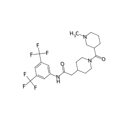 CN1CCCC(C(=O)N2CCC(CC(=O)Nc3cc(C(F)(F)F)cc(C(F)(F)F)c3)CC2)C1